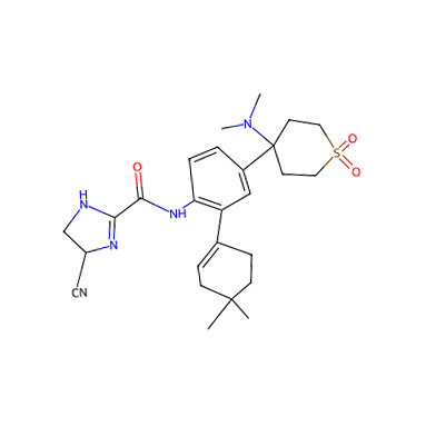 CN(C)C1(c2ccc(NC(=O)C3=NC(C#N)CN3)c(C3=CCC(C)(C)CC3)c2)CCS(=O)(=O)CC1